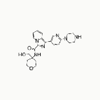 O=C(NC1(CO)CCOCC1)c1nc(-c2ccc(N3CCNCC3)nc2)c2ccccn12